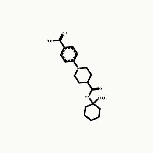 N=C(N)c1ccc(N2CCC(C(=O)NC3(C(=O)O)CC[CH]CC3)CC2)cc1